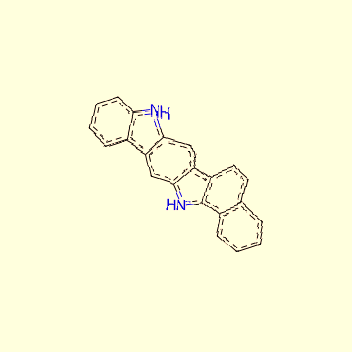 c1ccc2c(c1)ccc1c3cc4[nH]c5ccccc5c4cc3[nH]c21